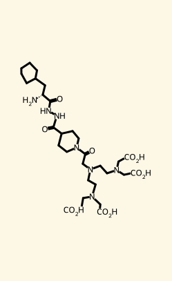 N[C@H](CC1CCCCC1)C(=O)NNC(=O)C1CCN(C(=O)CN(CCN(CC(=O)O)CC(=O)O)CCN(CC(=O)O)CC(=O)O)CC1